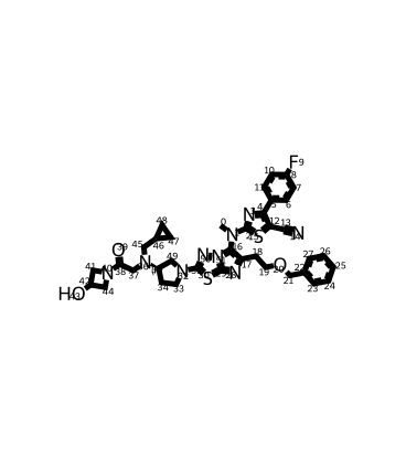 CN(c1nc(-c2ccc(F)cc2)c(C#N)s1)c1c(CCOCc2ccccc2)nc2sc(N3CC[C@@H](N(CC(=O)N4CC(O)C4)CC4CC4)C3)nn12